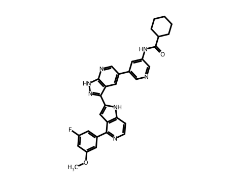 COc1cc(F)cc(-c2nccc3[nH]c(-c4n[nH]c5ncc(-c6cncc(NC(=O)C7CCCCC7)c6)cc45)cc23)c1